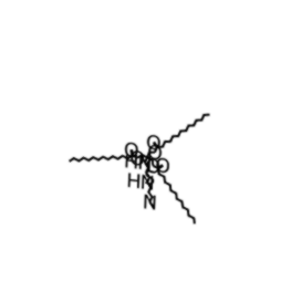 CCCCCCCCCCCCCC(=O)OCC(COC(=O)CCCCCCCCCCCCC)(COC(=O)CCCCCCCCCCCCC)NCCSNCCCN(C)C